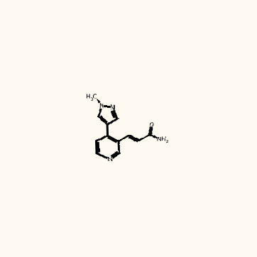 Cn1cc(-c2ccncc2C=CC(N)=O)cn1